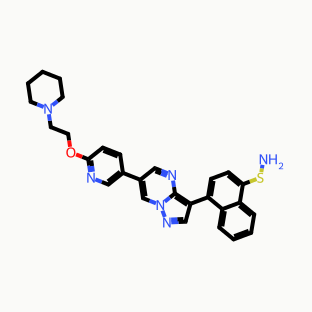 NSc1ccc(-c2cnn3cc(-c4ccc(OCCN5CCCCC5)nc4)cnc23)c2ccccc12